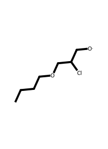 CCCCOCC(Cl)C[O]